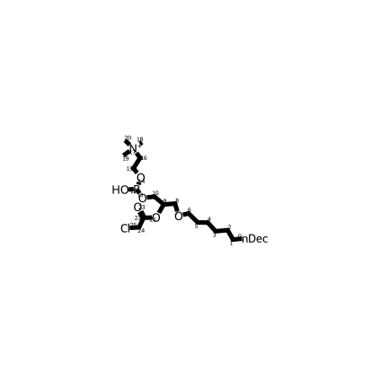 CCCCCCCCCCCCCCCCOCC(COP(O)OCC[N+](C)(C)C)OC(=O)CCl